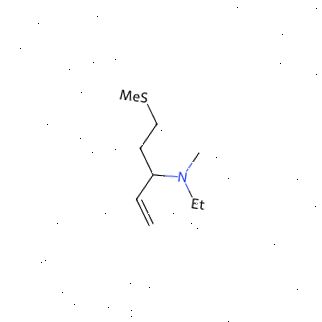 C=CC(CCSC)N(C)CC